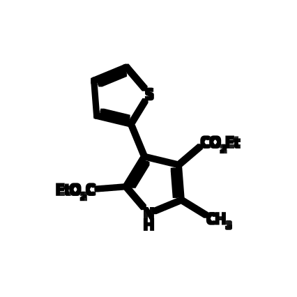 CCOC(=O)c1[nH]c(C)c(C(=O)OCC)c1-c1cccs1